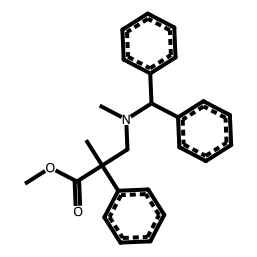 COC(=O)C(C)(CN(C)C(c1ccccc1)c1ccccc1)c1ccccc1